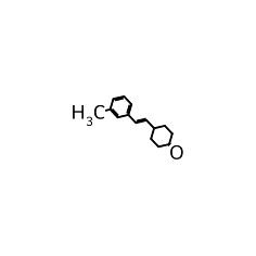 Cc1cccc(/C=C/C2CCC(=O)CC2)c1